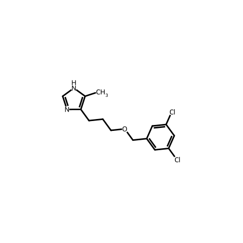 Cc1[nH]cnc1CCCOCc1cc(Cl)cc(Cl)c1